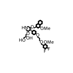 COc1cc(F)c(F)cc1COCCCOc1ccc([C@@H]2[C@@H](OCc3cc(OC)c4ccccc4c3)CNC[C@H]2OCC(O)CO)cc1